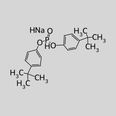 CC(C)(C)c1ccc(O[PH](=O)Oc2ccc(C(C)(C)C)cc2)cc1.[NaH]